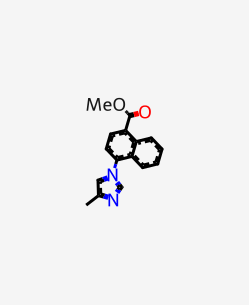 COC(=O)c1ccc(-n2cnc(C)c2)c2ccccc12